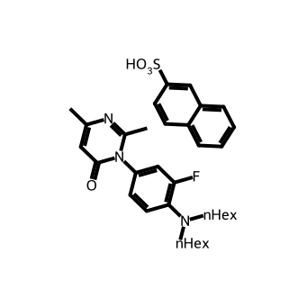 CCCCCCN(CCCCCC)c1ccc(-n2c(C)nc(C)cc2=O)cc1F.O=S(=O)(O)c1ccc2ccccc2c1